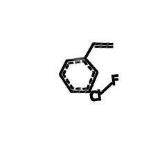 C=Cc1ccccc1.FCl